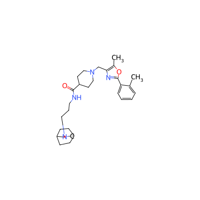 Cc1ccccc1-c1nc(CN2CCC(C(=O)NCCCN3CC4CCC(CC4)C3)CC2)c(C)o1